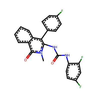 Cn1c(NC(=O)Nc2ccc(F)cc2F)c(-c2ccc(F)cc2)c2ccccc2c1=O